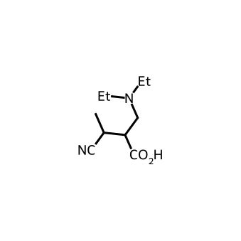 CCN(CC)CC(C(=O)O)C(C)C#N